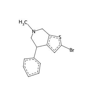 CN1Cc2sc(Br)cc2C(c2ccccc2)C1